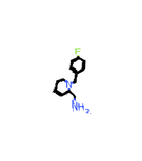 NCC1CCCCN1Cc1ccc(F)cc1